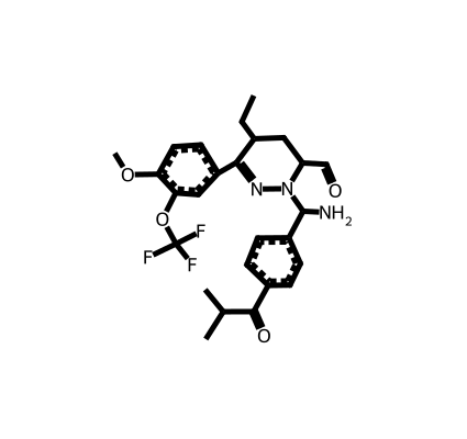 CCC1CC(C=O)N(C(N)c2ccc(C(=O)C(C)C)cc2)N=C1c1ccc(OC)c(OC(F)(F)F)c1